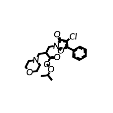 CC(C)OOC(=O)C(CN1CCOCC1)Cn1oc(-c2ccccc2)c(Cl)c1=O